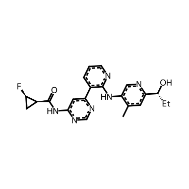 CC[C@@H](O)c1cc(C)c(Nc2ncccc2-c2cc(NC(=O)[C@H]3C[C@H]3F)ncn2)cn1